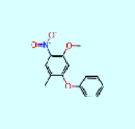 COc1cc(Oc2ccccc2)c(C)cc1[N+](=O)[O-]